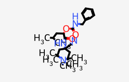 CC(C)CC(OC(=O)NCc1ccccc1)C(=O)NC1(C#N)CC(C)(C)N(C)C(C)(C)C1